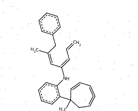 C=C/C=C(\C=C(\C)Cc1ccccc1)Nc1ccccc1C1(C)C=CC=C=CC1